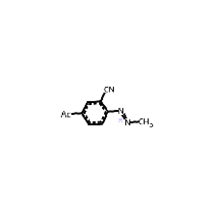 C/N=N/c1ccc(C(C)=O)cc1C#N